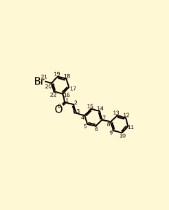 O=C(/C=C/c1ccc(-c2ccccc2)cc1)c1cccc(Br)c1